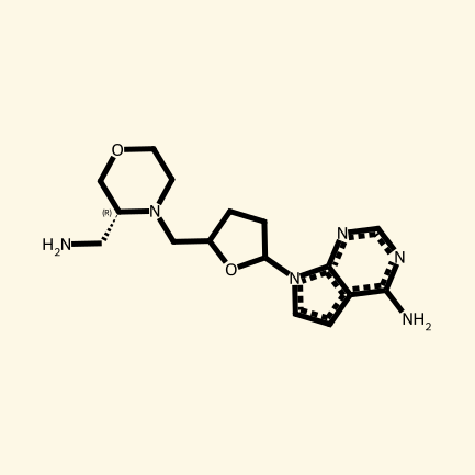 NC[C@@H]1COCCN1CC1CCC(n2ccc3c(N)ncnc32)O1